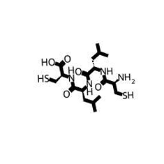 CC(C)C[C@H](NC(=O)[C@H](CC(C)C)NC(=O)[C@@H](N)CS)C(=O)N[C@@H](CS)C(=O)O